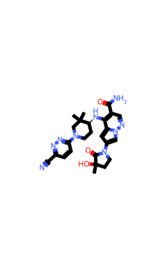 CC1(O)CCN(c2cc3c(N[C@@H]4CCN(c5ccc(C#N)nn5)CC4(C)C)c(C(N)=O)cnn3c2)C1=O